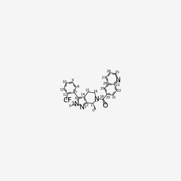 C[C@H]1c2nn(C)c(-c3ccccc3C(F)(F)F)c2CCN1C(=O)c1ccc2ncccc2c1